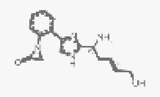 N[C@@H](C/C=C/CO)c1nc(-c2ccccc2N2CC2=O)c[nH]1